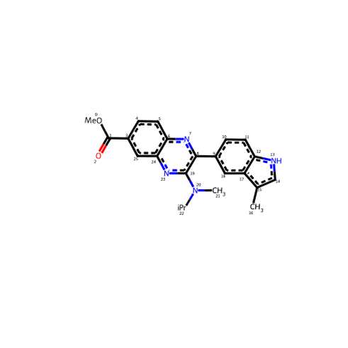 COC(=O)c1ccc2nc(-c3ccc4[nH]cc(C)c4c3)c(N(C)C(C)C)nc2c1